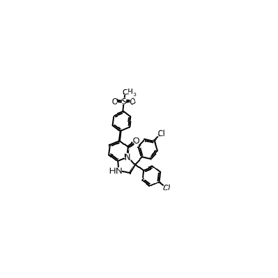 CS(=O)(=O)c1ccc(-c2ccc3n(c2=O)C(c2ccc(Cl)cc2)(c2ccc(Cl)cc2)CN3)cc1